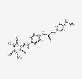 COc1ccc(C=CC(=O)Oc2ccc(NC=C3C(=O)N(C)C(=O)N(C)C3=O)cc2)cc1